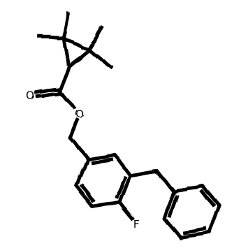 CC1(C)C(C(=O)OCc2ccc(F)c(Cc3ccccc3)c2)C1(C)C